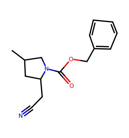 CC1CC(CC#N)N(C(=O)OCc2ccccc2)C1